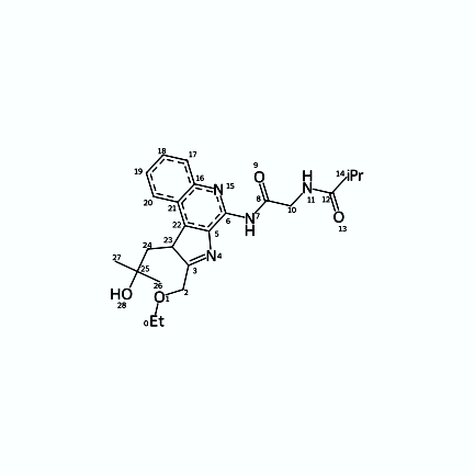 CCOCC1=Nc2c(NC(=O)CNC(=O)C(C)C)nc3ccccc3c2C1CC(C)(C)O